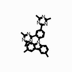 Cc1ccc2c(c1)c1cc(C)ccc1n2-c1ccc(-c2nc(C)nc(C)n2)cc1-c1nc(C)nc(C)n1